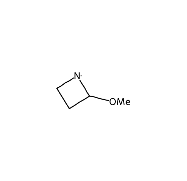 COC1CC[N]1